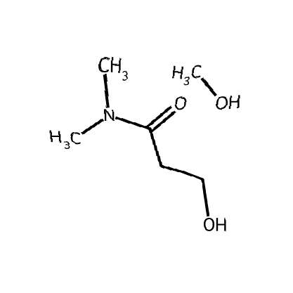 CN(C)C(=O)CCO.CO